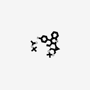 C=C(c1c(C2CC2)nc2ccccc2c1-c1ccc(F)cc1)[C@@H]1CCOC(C)(C)O1.CC(=O)OC(C)(C)C